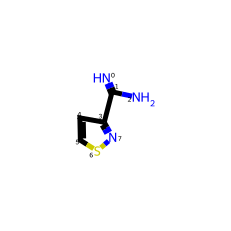 N=C(N)c1ccsn1